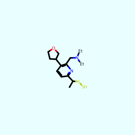 CCN(CC)Cc1nc(C(C)SS)ccc1C1CCOC1